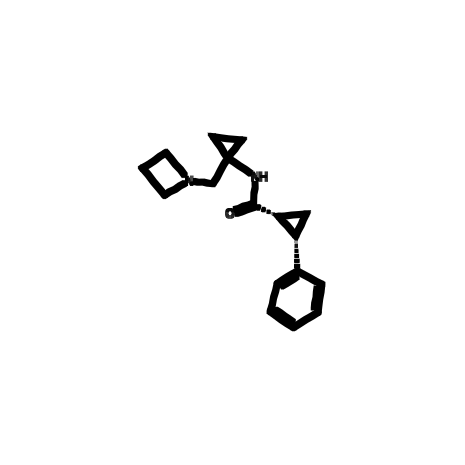 O=C(NC1(CN2CCC2)CC1)[C@@H]1C[C@@H]1c1ccccc1